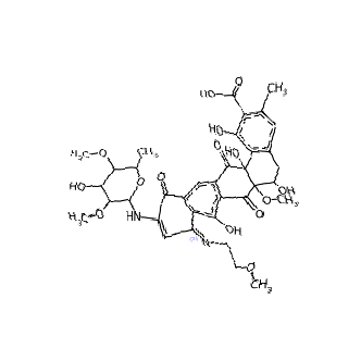 COCC/N=C1/C=C(NC2OC(C)C(OC)C(O)C2OC)C(=O)c2cc3c(c(O)c21)C(=O)C1(OC)C(O)Cc2cc(C)c(C(=O)O)c(O)c2C1(O)C3=O